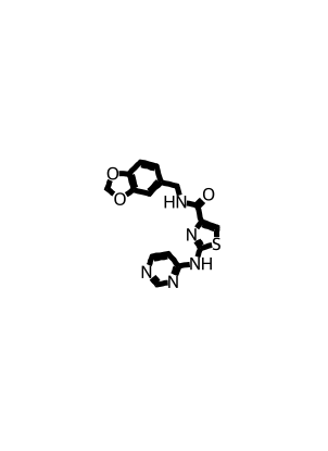 O=C(NCc1ccc2c(c1)OCO2)c1csc(Nc2ccncn2)n1